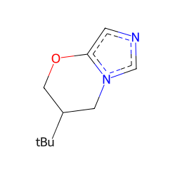 CC(C)(C)C1COc2cncn2C1